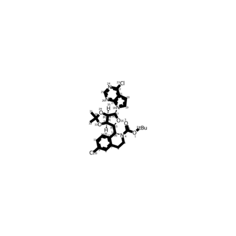 CC(C)(C)OC(=O)N1CCc2cc(Cl)ccc2[C@@H]1[C@H]1O[C@@H](n2ccc3c(Cl)ncnc32)[C@@H]2OC(C)(C)O[C@@H]21